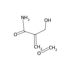 C=C(CO)C(N)=O.C=O